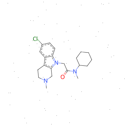 CN1CCc2c(n(CC(=O)N(C)C3CCCCC3)c3ccc(Cl)cc23)C1